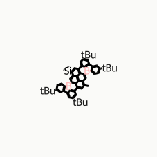 Cc1cc2c3c(cc4c([Si](C)(C)C)cc5c6c(cc1c3c46)B1c3ccc(C(C)(C)C)cc3-c3cc(C(C)(C)C)cc-5c31)B1c3ccc(C(C)(C)C)cc3-c3cc(C(C)(C)C)cc-2c31